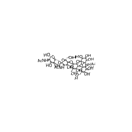 CC(=O)N[C@H]1[C@H](OC[C@H]2OC(O)[C@H](NC(C)=O)[C@@H](O)[C@H]2O)O[C@H](CO)[C@@H](O[C@@H]2O[C@H](CO)[C@H](O)[C@H](O[C@H]3O[C@H](CO)[C@H](O)[C@H](O)[C@H]3NC(C)=O)[C@H]2O[C@@H]2O[C@@H](C)[C@@H](O)[C@@H](O)[C@@H]2O)[C@@H]1O